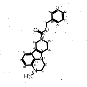 CN1CCn2c3c(c4cccc1c42)CN(C(=O)OCc1ccccc1)CC3